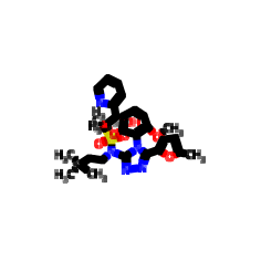 COc1cccc(OC)c1-n1c(-c2ccc(C)o2)nnc1N(CC[Si](C)(C)C)S(=O)(=O)[C@@H](C)[C@@H](O)c1ccccn1